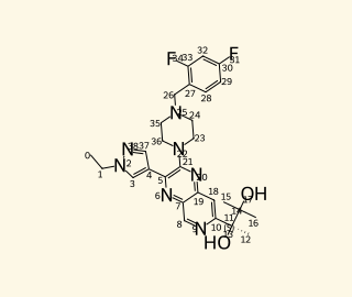 CCn1cc(-c2nc3cnc([C@](C)(O)C(C)(C)O)cc3nc2N2CCN(Cc3ccc(F)cc3F)CC2)cn1